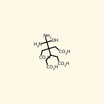 NC(N)(O)C(CC(=O)O)(CC(=O)O)C(CC(=O)O)CC(=O)O